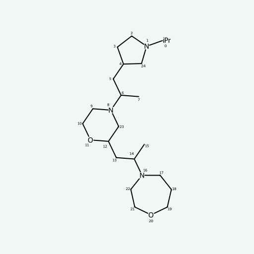 CC(C)N1CCC(CC(C)N2CCOC(CC(C)N3CCCOCC3)C2)C1